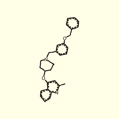 Cc1cc(OC2CCN(Cc3cccc(OCc4ccccc4)c3)CC2)c2ccccc2n1